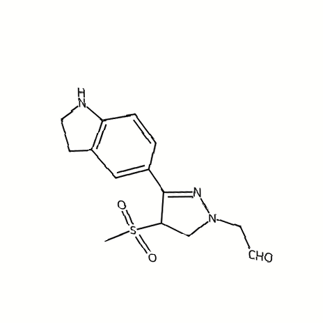 CS(=O)(=O)C1CN(CC=O)N=C1c1ccc2c(c1)CCN2